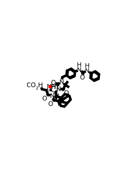 CC(C)C[C@@H](C(=O)C12CC3CC(CC(C3)C1C(=O)NC(=O)[C@@H](N)CC(=O)O)C2)N1C(=O)N(Cc2ccc(NC(=O)Nc3ccccc3)cc2)C(C)(C)C1=O